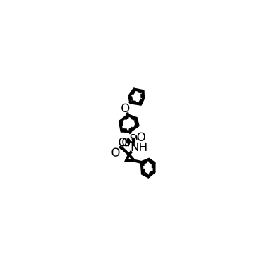 O=C(O)C1(NS(=O)(=O)c2ccc(Oc3ccccc3)cc2)CC1c1ccccc1